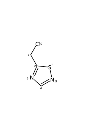 ClCc1ncns1